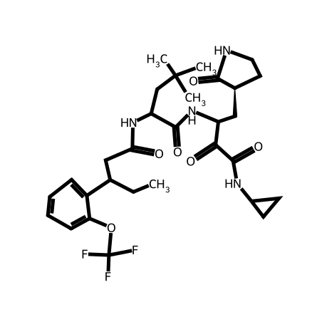 CCC(CC(=O)NC(CC(C)(C)C)C(=O)NC(C[C@@H]1CCNC1=O)C(=O)C(=O)NC1CC1)c1ccccc1OC(F)(F)F